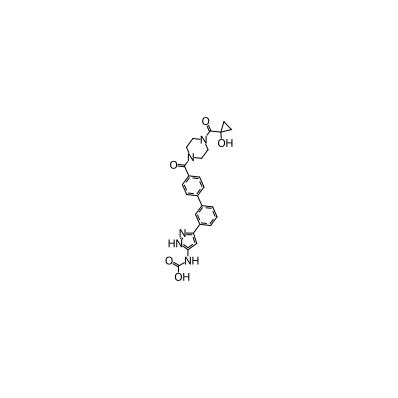 O=C(O)Nc1cc(-c2cccc(-c3ccc(C(=O)N4CCN(C(=O)C5(O)CC5)CC4)cc3)c2)n[nH]1